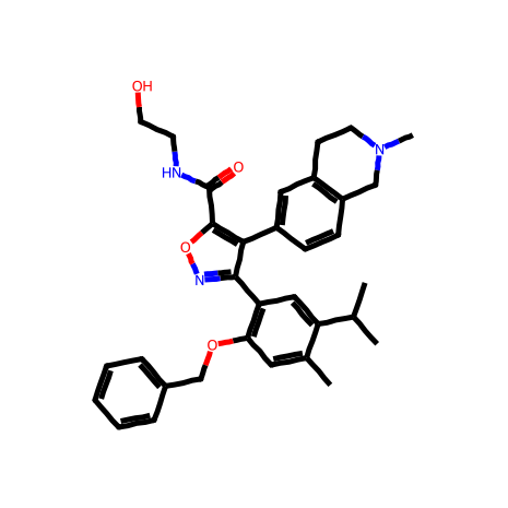 Cc1cc(OCc2ccccc2)c(-c2noc(C(=O)NCCO)c2-c2ccc3c(c2)CCN(C)C3)cc1C(C)C